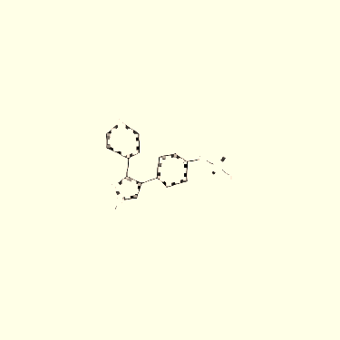 CCC(C)S(=O)(=O)Nc1ccc(-c2cn(C)nc2-c2ccncc2)cc1